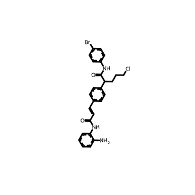 Nc1ccccc1NC(=O)/C=C/c1ccc(C(CCCCl)C(=O)Nc2ccc(Br)cc2)cc1